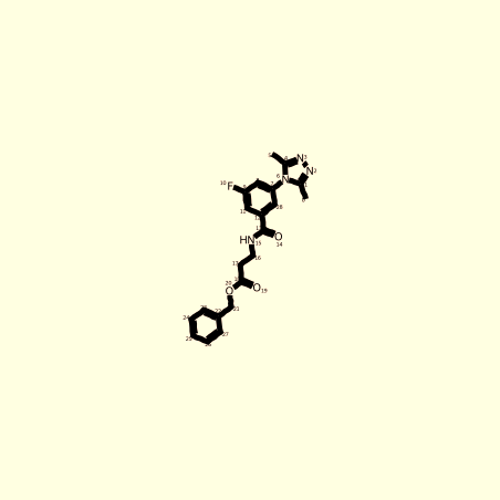 Cc1nnc(C)n1-c1cc(F)cc(C(=O)NCCC(=O)OCc2ccccc2)c1